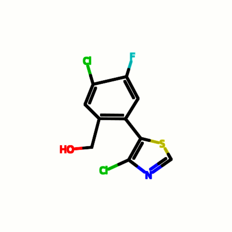 OCc1cc(Cl)c(F)cc1-c1scnc1Cl